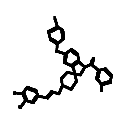 Cc1cc(C(=O)N2CC3(CCN(CC=Cc4ccc(Cl)c(Cl)c4)CC3)c3cc(Sc4ccc(F)cc4)ccc32)ccn1